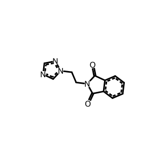 O=C1c2ccccc2C(=O)N1CCn1cncn1